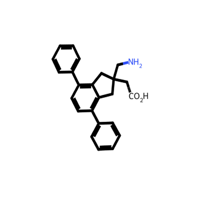 NCC1(CC(=O)O)Cc2c(-c3ccccc3)ccc(-c3ccccc3)c2C1